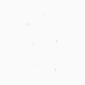 CCC(C)c1cc(C(C)(C)c2ccc(O)c(C(C)CC)c2)ccc1O